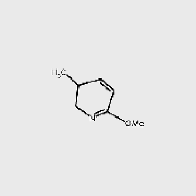 COC1=NCC(C)C=C1